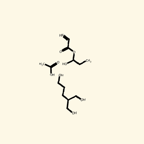 CC(=O)O.CCC(O)OC(=O)C=N.OCCCC(CO)CO